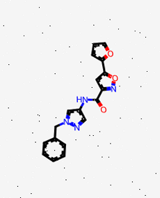 O=C(Nc1cnn(Cc2ccccc2)c1)c1cc(-c2ccco2)on1